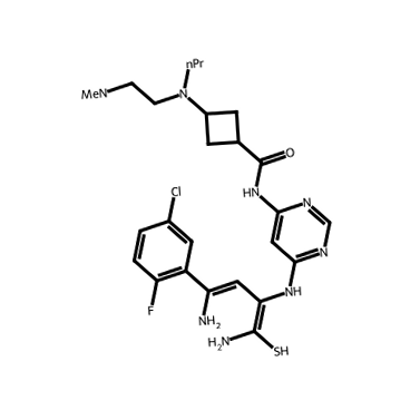 CCCN(CCNC)C1CC(C(=O)Nc2cc(NC(/C=C(\N)c3cc(Cl)ccc3F)=C(/N)S)ncn2)C1